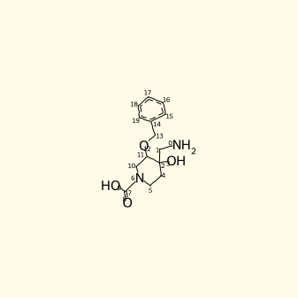 NCC1(O)CCN(C(=O)O)CC1OCc1ccccc1